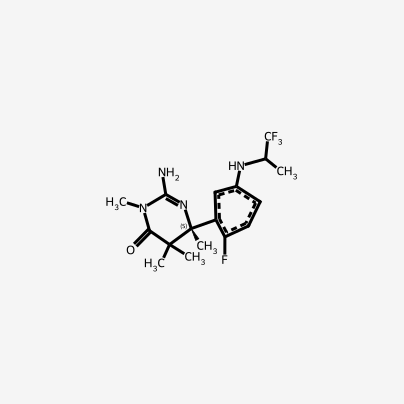 CC(Nc1ccc(F)c([C@@]2(C)N=C(N)N(C)C(=O)C2(C)C)c1)C(F)(F)F